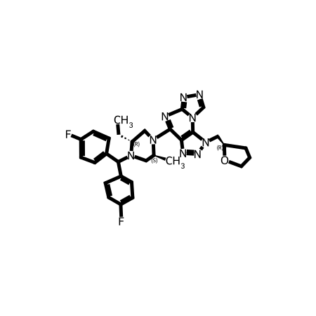 CC[C@@H]1CN(c2nc3nncn3c3c2nnn3C[C@H]2CCCO2)[C@@H](C)CN1C(c1ccc(F)cc1)c1ccc(F)cc1